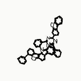 c1ccc(-c2nc(-c3ccc4c(c3)oc3ccccc34)nc(-c3ccccc3-n3c4ccccc4c4ccc5oc6c(-c7ccccc7)cccc6c5c43)n2)cc1